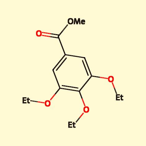 CCOc1cc(C(=O)OC)cc(OCC)c1OCC